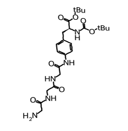 CC(C)(C)OC(=O)N[C@@H](Cc1ccc(NC(=O)CNC(=O)CNC(=O)CN)cc1)C(=O)OC(C)(C)C